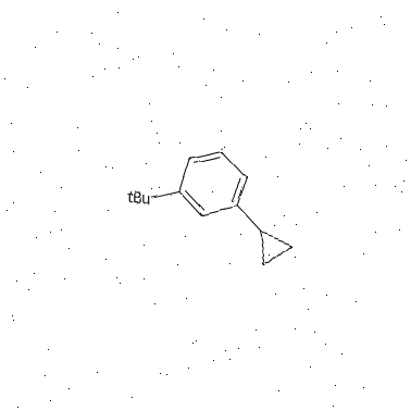 CC(C)(C)c1c[c]cc(C2CC2)c1